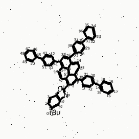 CC(C)(C)c1ccc2oc(-c3cc(-c4ccc(-c5ccccc5)cc4)c4ccc5c(-c6ccc(-c7ccccc7)cc6)cc(-c6ccc(-c7ccccc7)cc6)c6ccc3c4c56)nc2c1